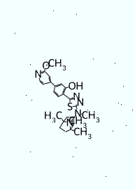 COc1cc(-c2ccc(-c3nnc(N(C)[C@H]4C[C@]5(C)CC[C@](C)(C4)N5C)s3)c(O)c2)ccn1